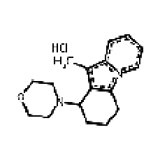 Cc1c2c(n3ccccc13)CCCC2N1CCOCC1.Cl